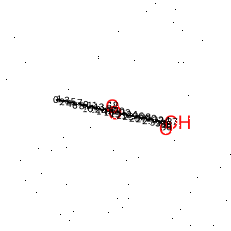 CCCCCCCCCCCCCCCCCC(=O)OCCCCCCCCCCCCCCCC(=O)O